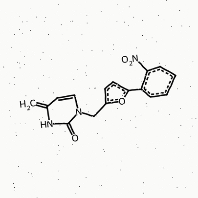 C=C1C=CN(Cc2ccc(-c3ccccc3[N+](=O)[O-])o2)C(=O)N1